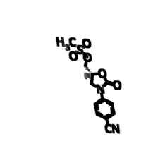 CS(=O)(=O)OC[C@H]1CN(c2ccc(C#N)cc2)C(=O)O1